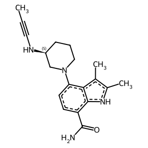 CC#CN[C@H]1CCCN(c2ccc(C(N)=O)c3[nH]c(C)c(C)c23)C1